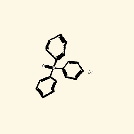 O=P(c1ccccc1)(c1ccccc1)c1ccccc1.[Eu]